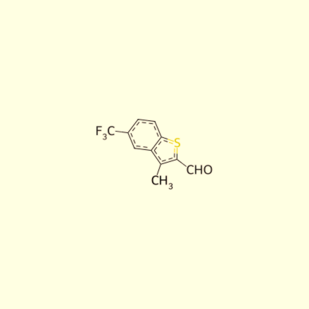 Cc1c(C=O)sc2ccc(C(F)(F)F)cc12